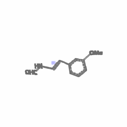 COc1cccc(/C=C/NC=O)c1